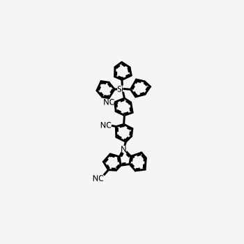 N#Cc1ccc2c(c1)c1ccccc1n2-c1ccc(-c2ccc([Si](c3ccccc3)(c3ccccc3)c3ccccc3)c(C#N)c2)c(C#N)c1